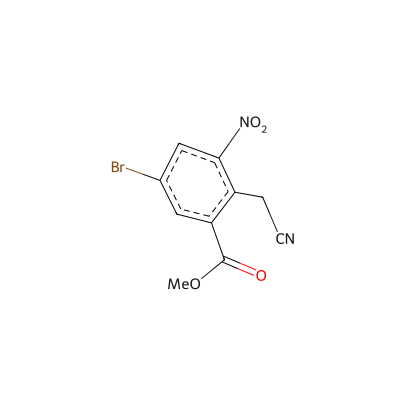 COC(=O)c1cc(Br)cc([N+](=O)[O-])c1CC#N